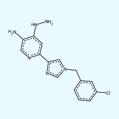 NNc1cc(-c2cn(Cc3cccc(Cl)c3)cn2)ncc1N